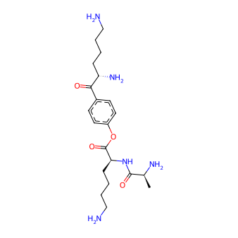 C[C@H](N)C(=O)N[C@@H](CCCCN)C(=O)Oc1ccc(C(=O)[C@@H](N)CCCCN)cc1